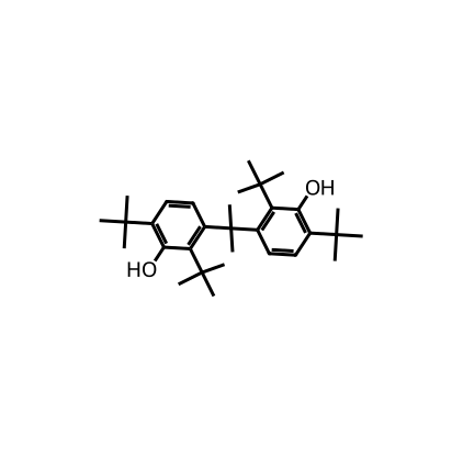 CC(C)(C)c1ccc(C(C)(C)c2ccc(C(C)(C)C)c(O)c2C(C)(C)C)c(C(C)(C)C)c1O